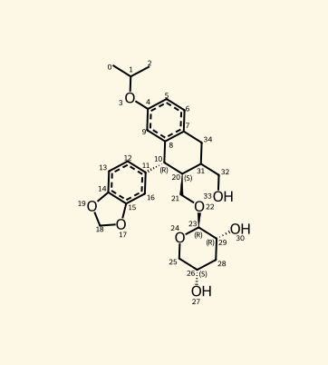 CC(C)Oc1ccc2c(c1)[C@@H](c1ccc3c(c1)OCO3)[C@H](CO[C@@H]1OC[C@@H](O)C[C@H]1O)C(CO)C2